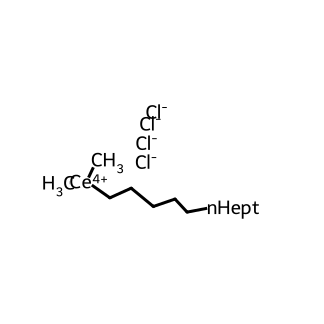 CCCCCCCCCCC[CH2][Ce+4]([CH3])[CH3].[Cl-].[Cl-].[Cl-].[Cl-]